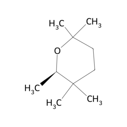 C[C@H]1OC(C)(C)CCC1(C)C